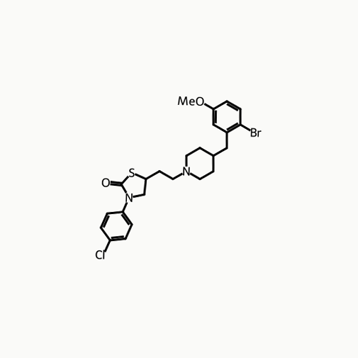 COc1ccc(Br)c(CC2CCN(CCC3CN(c4ccc(Cl)cc4)C(=O)S3)CC2)c1